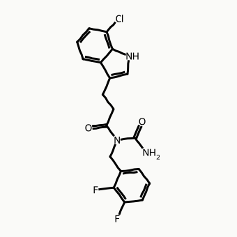 NC(=O)N(Cc1cccc(F)c1F)C(=O)CCc1c[nH]c2c(Cl)cccc12